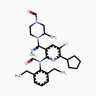 CCc1cccc(CC)c1N(C=O)c1nc(C2CCCC2)c(Cl)cc1/C(=N\C)N1CCN(C=O)CC1C